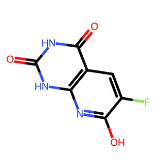 O=c1[nH]c(=O)c2cc(F)c(O)nc2[nH]1